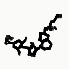 CC(C)Oc1cc(F)c(-c2nc(N3CCCc4cc(CNCCO)ccc43)no2)c(F)c1